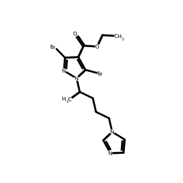 CCOC(=O)c1c(Br)nn(C(C)CCCn2ccnc2)c1Br